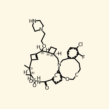 C[C@@H]1[C@@H](C)C2C=C(C2)[C@H](OCCN2CCNCC2)[C@@H]2CC[C@H]2CN2Cc3ccc(Cl)c(F)c3CCCCOc3ccc(cc32)C(=O)NS1(=O)=O